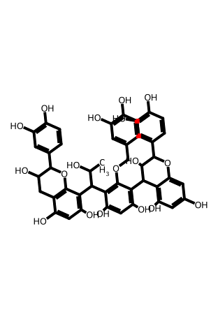 CC(O)C(c1c(O)cc(O)c2c1OC(c1ccc(O)c(O)c1)C(O)C2)c1c(O)cc(O)c(C2c3c(O)cc(O)cc3OC(c3ccc(O)c(O)c3)C2O)c1OCc1ccc(O)c(O)c1